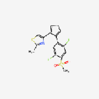 Cc1nc(C2=CCC=C2c2cc(F)c(S(C)(=O)=O)cc2F)cs1